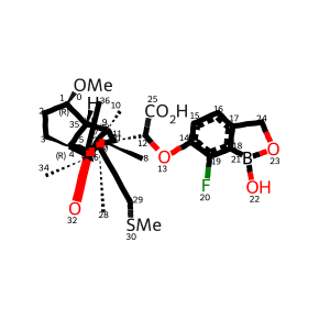 CO[C@@H]1CC[C@@]23CC[C@@H](C)[C@](C)([C@H](C(Oc4ccc5c(c4F)B(O)OC5)C(=O)O)C[C@@](C)(CSC)C(=O)[C@@H]2C)[C@@H]13